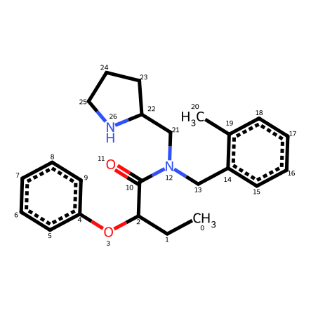 CCC(Oc1ccccc1)C(=O)N(Cc1ccccc1C)CC1CCCN1